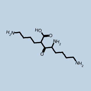 NCCCCC(N)C(=O)C(CCCCN)C(=O)O